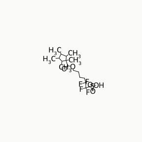 CC1C(C)C(C)C(C)(C(=O)OCCCCC(F)(F)C(F)(F)S(=O)(=O)O)C1C